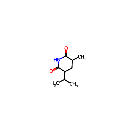 CC1CC(C(C)C)C(=O)NC1=O